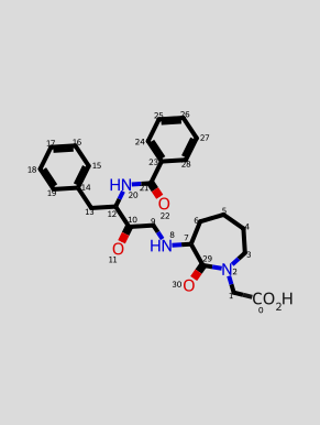 O=C(O)CN1CCCCC(NCC(=O)C(Cc2ccccc2)NC(=O)c2ccccc2)C1=O